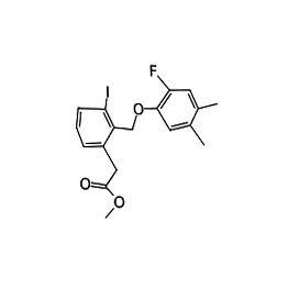 COC(=O)Cc1cccc(I)c1COc1cc(C)c(C)cc1F